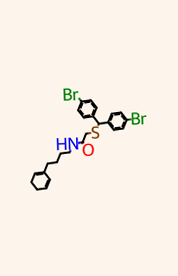 O=C(CSC(c1ccc(Br)cc1)c1ccc(Br)cc1)NCCCCC1=CCCC=C1